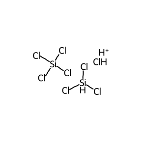 Cl.Cl[SiH](Cl)Cl.Cl[Si](Cl)(Cl)Cl.[H+]